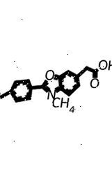 C.O=C(O)Cc1ccc2nc(-c3ccc(Cl)cc3)oc2c1